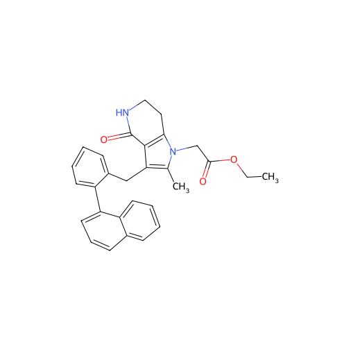 CCOC(=O)Cn1c(C)c(Cc2ccccc2-c2cccc3ccccc23)c2c1CCNC2=O